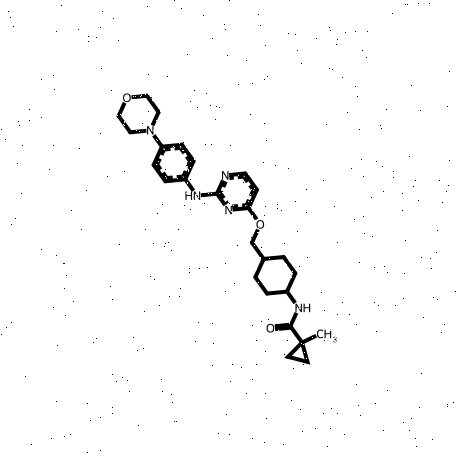 CC1(C(=O)NC2CCC(COc3ccnc(Nc4ccc(N5CCOCC5)cc4)n3)CC2)CC1